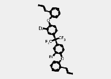 CC=Cc1ccccc1Oc1ccc(C(c2ccc(Oc3ccccc3C=CC)c(CC)c2)(C(F)(F)F)C(F)(F)F)cc1CC